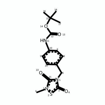 Cn1sc(=O)n(Cc2ccc(NC(=O)OC(C)(C)C)cc2)c1=O